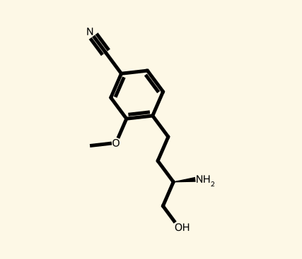 COc1cc(C#N)ccc1CC[C@@H](N)CO